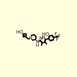 Cc1c(N[C@@H]2CCCN(CC34CC(O)(C3)C4)C2)nnc(-c2ccc(C(F)(F)F)cc2O)c1C